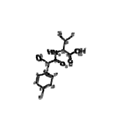 Cc1ccc(C(Cl)C(=O)NC(C(=O)O)C(C)C)cc1